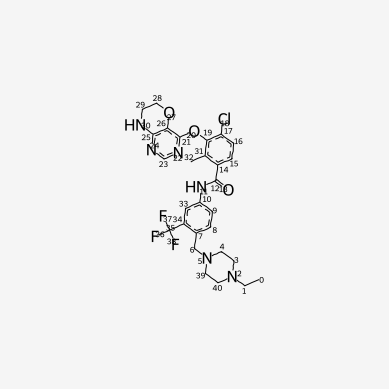 CCN1CCN(Cc2ccc(NC(=O)c3ccc(Cl)c(Oc4ncnc5c4OCCN5)c3C)cc2C(F)(F)F)CC1